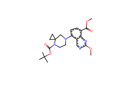 COC(=O)c1ccc(N2CCN(C(=O)OC(C)(C)C)C3(CC3)C2)c2cnc(OC)nc12